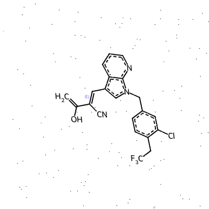 C=C(O)/C(C#N)=C/c1cn(Cc2ccc(CC(F)(F)F)c(Cl)c2)c2ncccc12